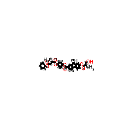 C=C(CO)C(=O)Oc1ccc2c(c1)C(C)c1cc(C(=O)Oc3ccc(OC(=O)C(=C)CC(=O)OC4CCCCC4)cc3)ccc1-2